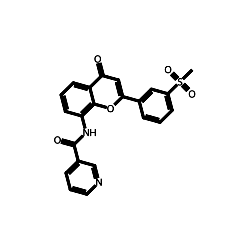 CS(=O)(=O)c1cccc(-c2cc(=O)c3cccc(NC(=O)c4cccnc4)c3o2)c1